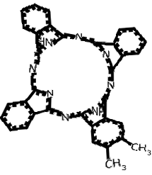 Cc1cc2c3nc4nc(nc5[nH]c(nc6nc(nc([nH]3)c2cc1C)-c1ccccc1-6)c1ccccc51)-c1ccccc1-4